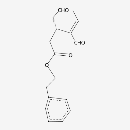 C/C=C(/C=O)[C@@H](CC=O)CC(=O)OCCc1ccccc1